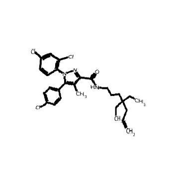 C=CCC(CC)(CC)CCCNC(=O)c1nn(-c2ccc(Cl)cc2Cl)c(-c2ccc(Cl)cc2)c1C